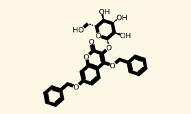 O=c1oc2cc(OCc3ccccc3)ccc2c(OCc2ccccc2)c1O[C@@H]1O[C@H](CO)[C@@H](O)[C@H](O)[C@H]1O